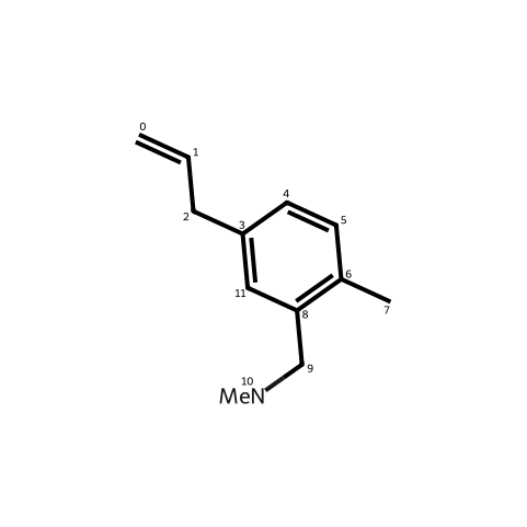 C=CCc1ccc(C)c(CNC)c1